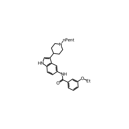 CCCCCN1CCC(c2c[nH]c3ccc(NC(=O)c4cccc(OCC)c4)cc23)CC1